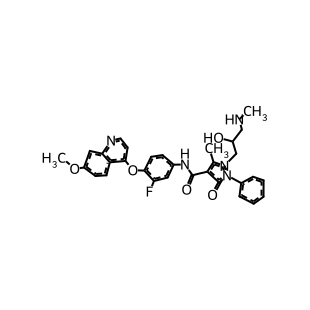 CNCC(O)Cn1c(C)c(C(=O)Nc2ccc(Oc3ccnc4cc(OC)ccc34)c(F)c2)c(=O)n1-c1ccccc1